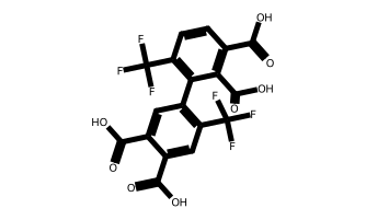 O=C(O)c1cc(-c2c(C(F)(F)F)ccc(C(=O)O)c2C(=O)O)c(C(F)(F)F)cc1C(=O)O